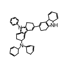 C1=CCCC(N(C2C=CC=CC2)C2C=c3c4c(n(-c5ccccc5)c3=CC2)CCC(C2=CC3=C(CC2)NC2C=CC=CC32)=C4)=C1